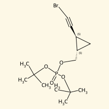 CC(C)(C)OP(=O)(OC[C@H]1C[C@@H]1C#CBr)OC(C)(C)C